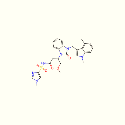 COCC(CC(=O)NS(=O)(=O)c1cn(C)cn1)n1c(=O)n(Cc2cn(C)c3cccc(C)c23)c2ccccc21